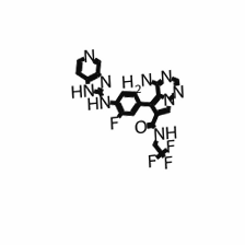 Nc1ncnn2cc(C(=O)NCC(F)(F)F)c(-c3ccc(Nc4nc5cnccc5[nH]4)c(F)c3)c12